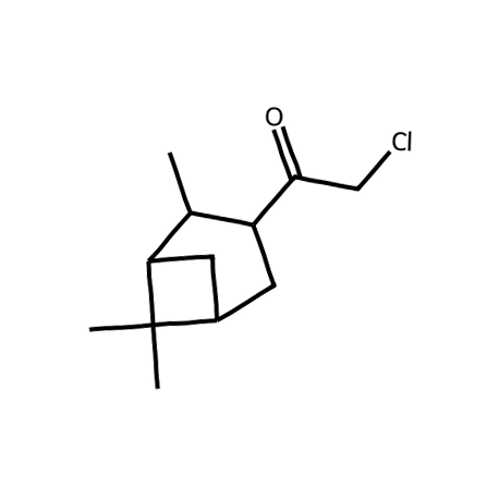 CC1C(C(=O)CCl)CC2CC1C2(C)C